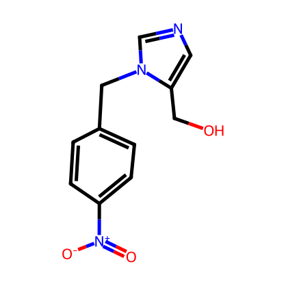 O=[N+]([O-])c1ccc(Cn2cncc2CO)cc1